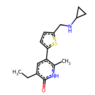 CCc1cc(-c2ccc(CNC3CC3)s2)c(C)[nH]c1=O